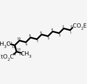 CCOC(=O)CCCCCCCCCCC(C)C(C)C(=O)OCC